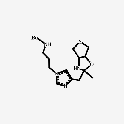 CC(C)(C)NCCCn1cnc(CC2(C)NC3CSCC3O2)c1